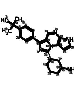 CC(C)(O)c1ccc(-c2nc([C@H]3CCC[C@H](N)C3)n3c2cnc2[nH]ccc23)cc1